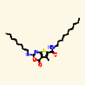 CCCCCCCCCCNC(=O)c1sc2nc(NCCCCCCCC)oc(=O)c2c1C